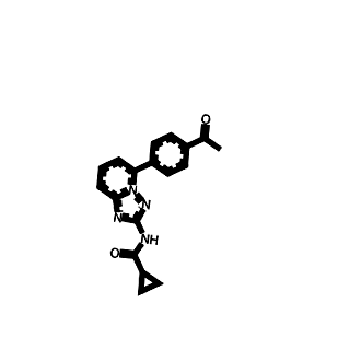 CC(=O)c1ccc(-c2cccc3nc(NC(=O)C4CC4)nn23)cc1